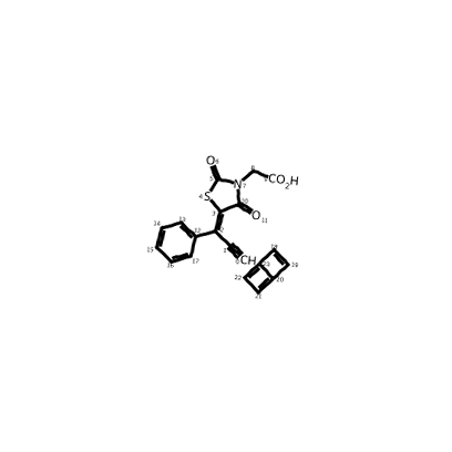 C#CC(=C1SC(=O)N(CC(=O)O)C1=O)c1ccccc1.c1cc2ccc1-2